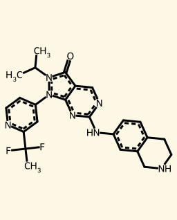 CC(C)n1c(=O)c2cnc(Nc3ccc4c(c3)CNCC4)nc2n1-c1ccnc(C(C)(F)F)c1